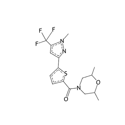 CC1CN(C(=O)c2ccc(-c3cc(C(F)(F)F)n(C)n3)s2)CC(C)O1